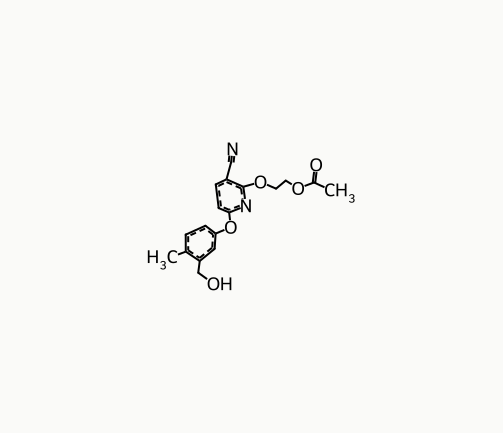 CC(=O)OCCOc1nc(Oc2ccc(C)c(CO)c2)ccc1C#N